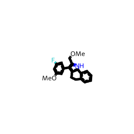 COCc1[nH]c2c(c1-c1cc(F)cc(OC)c1)CCc1ccccc1-2